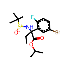 CCC(N[S+]([O-])C(C)(C)C)(C(=O)OC(C)C)c1cc(Br)ccc1F